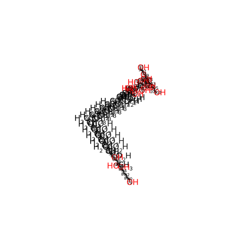 C=C(C)C(=O)O.C=C(C)C(=O)O.C=C(C)C(=O)O.C=C(C)C(=O)O.C=C(C)C(=O)O.C=C(C)C(=O)O.C=C(C)C(=O)O.C=C(C)C(=O)O.C=C(C)C(=O)O.C=C(C)C(=O)O.C=C(C)C(=O)O.C=CC(=O)O.C=CC(=O)O.C=CC(=O)O.C=CC(=O)O.CC(O)CCO.CCC(CO)(CO)CO.OCC(CO)(CO)CO.OCCCCCCO.OCCO.OCCO.OCCOCCOCCOCCO